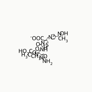 CC(=NO)c1cc[n+](CC2=C(C(=O)[O-])N3C(=O)C(NC(=O)/C(=N\OC(C)(C)C(=O)O)c4coc(N)n4)[C@@H]3SC2)cc1